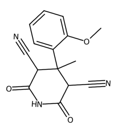 COc1ccccc1C1(C)C(C#N)C(=O)NC(=O)C1C#N